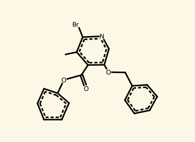 Cc1c(Br)ncc(OCc2ccccc2)c1C(=O)Oc1ccccc1